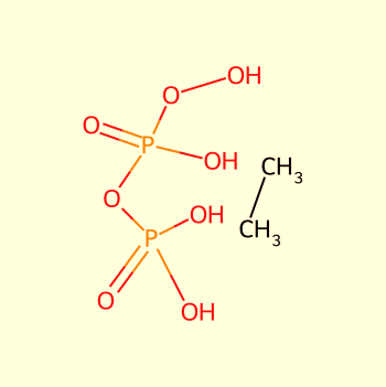 CC.O=P(O)(O)OP(=O)(O)OO